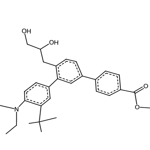 CCOC(=O)c1ccc(-c2ccc(CC(O)CO)c(-c3ccc(N(CC)CC)c(C(C)(C)C)c3)c2)cc1